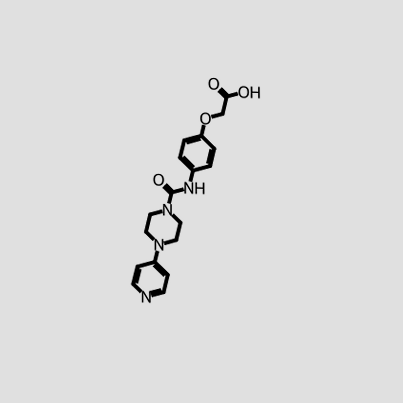 O=C(O)COc1ccc(NC(=O)N2CCN(c3ccncc3)CC2)cc1